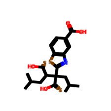 CC(C)CC(C(O)=S)C(CC(C)C)(C(O)=S)c1nc2cc(C(=O)O)ccc2s1